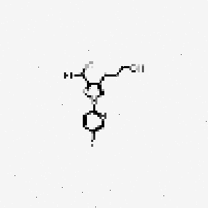 CCC(CC)c1nn(-c2ccc(Cl)cn2)cc1CCCO